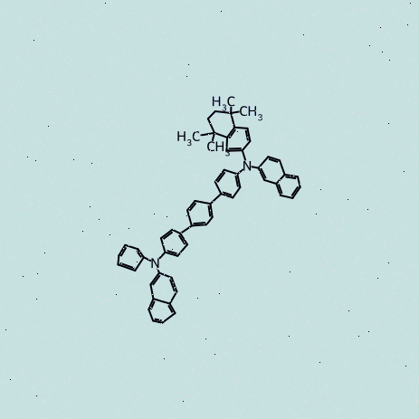 CC1(C)CCC(C)(C)c2cc(N(c3ccc(-c4ccc(-c5ccc(N(c6ccccc6)c6ccc7ccccc7c6)cc5)cc4)cc3)c3ccc4ccccc4c3)ccc21